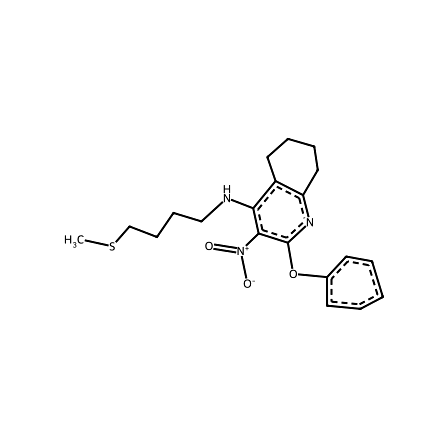 CSCCCCNc1c2c(nc(Oc3ccccc3)c1[N+](=O)[O-])CCCC2